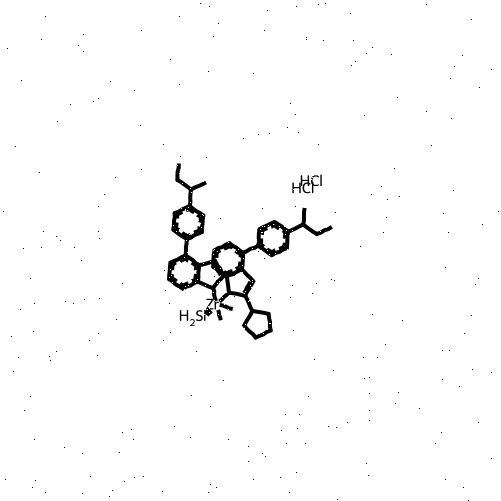 CCC(C)c1ccc(-c2cccc3c2C=C(C)[CH]3[Zr]([CH3])([CH3])(=[SiH2])[CH]2C(C3CCCC3)=Cc3c(-c4ccc(C(C)CC)cc4)cccc32)cc1.Cl.Cl